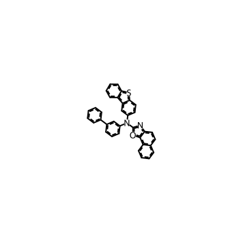 c1ccc(-c2cccc(N(c3ccc4sc5ccccc5c4c3)c3nc4ccc5ccccc5c4o3)c2)cc1